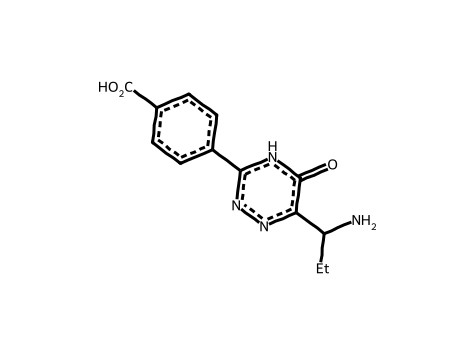 CCC(N)c1nnc(-c2ccc(C(=O)O)cc2)[nH]c1=O